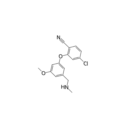 CNCc1cc(OC)cc(Oc2cc(Cl)ccc2C#N)c1